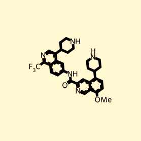 COc1ccc(C2CCNCC2)c2cc(C(=O)Nc3ccc4c(C(F)(F)F)ncc(C5CCNCC5)c4c3)ncc12